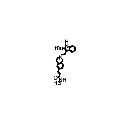 CC(C)(C)c1[nH]c2ccccc2c1CCN1CCc2cc(/C=C/C(=O)NO)ccc2C1